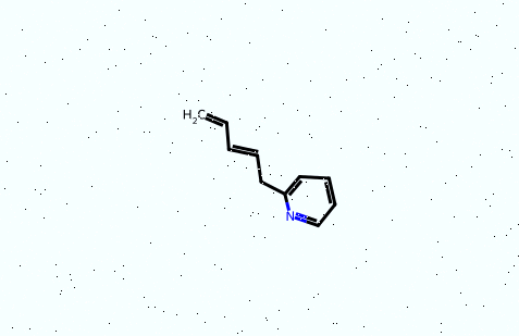 C=CC=CCc1ccccn1